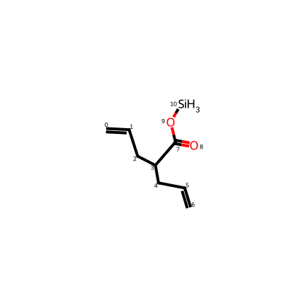 C=CCC(CC=C)C(=O)O[SiH3]